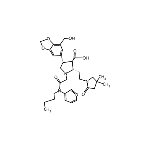 CCCCN(C(=O)CN1C[C@H](c2cc(CO)c3c(c2)OCO3)[C@@H](C(=O)O)[C@@H]1CCN1CC(C)(C)CC1=O)c1cccnc1